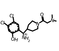 CN(C)CC(=O)N1CCC([C@@H](N)c2cc(Cl)c(Cl)cc2O)CC1